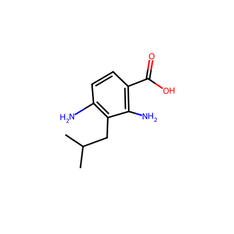 CC(C)Cc1c(N)ccc(C(=O)O)c1N